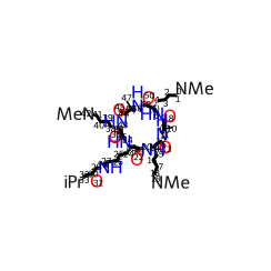 CNCCCC[C@@H]1NC(=O)[C@@H](C)NC(=O)[C@H](CCCCNC)NC(=O)[C@@H](CCCCNCC(=O)CC(C)C)NC(=O)[C@H](CCCCNC)NC(=O)[C@@H](C)NC1=O